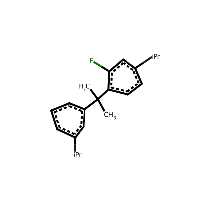 CC(C)c1cccc(C(C)(C)c2ccc(C(C)C)cc2F)c1